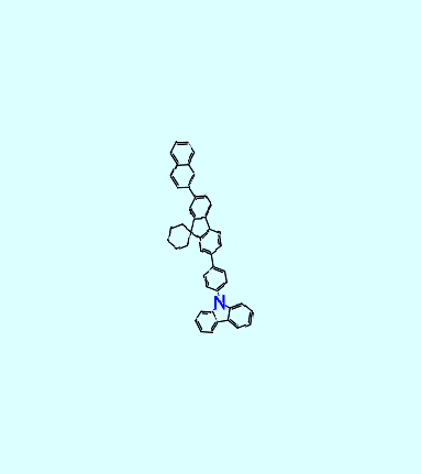 c1ccc2cc(-c3ccc4c(c3)C3(CCCCC3)c3cc(-c5ccc(-n6c7ccccc7c7ccccc76)cc5)ccc3-4)ccc2c1